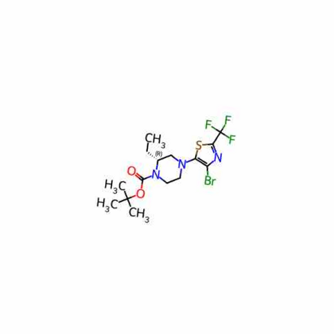 CC[C@@H]1CN(c2sc(C(F)(F)F)nc2Br)CCN1C(=O)OC(C)(C)C